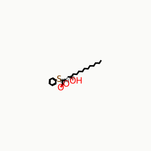 CCCCCCCCCCC[C@@H](O)C[C@@H]1OC(=O)[C@H]1Sc1ccccc1